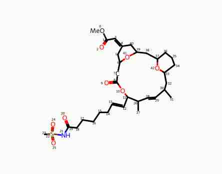 COC(=O)/C=C1\CC2CC(=O)OC(/C=C/CCCCCC(=O)NS(C)(=O)=O)C(C)/C=C/C(C)CC3CCCC(CC(C1)O2)O3